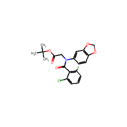 CC(C)(C)OC(=O)CN(C(=O)c1c(F)cccc1Cl)c1ccc2c(c1)OCO2